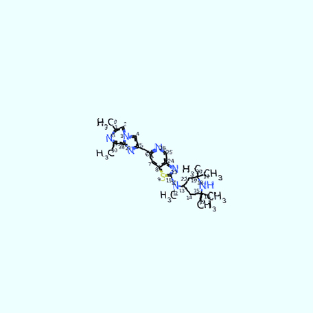 Cc1cn2cc(-c3cc4sc(N(C)C5CC(C)(C)NC(C)(C)C5)nc4cn3)nc2c(C)n1